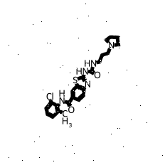 Cc1cccc(Cl)c1NC(=O)c1ccc2nc(NC(=O)NCCCN3CCCC3)sc2c1